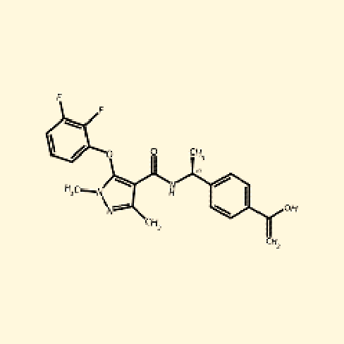 C=C(O)c1ccc([C@H](C)NC(=O)c2c(C)nn(C)c2Oc2cccc(F)c2F)cc1